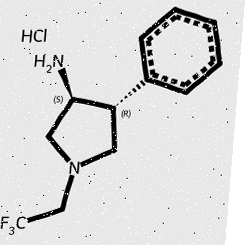 Cl.N[C@@H]1CN(CC(F)(F)F)C[C@H]1c1ccccc1